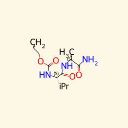 C=CCOC(=O)N[C@H](C(=O)N[C@@H](C)C(N)=O)C(C)C